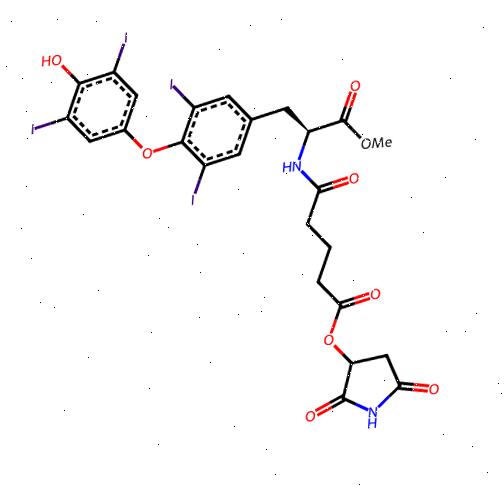 COC(=O)[C@H](Cc1cc(I)c(Oc2cc(I)c(O)c(I)c2)c(I)c1)NC(=O)CCCC(=O)OC1CC(=O)NC1=O